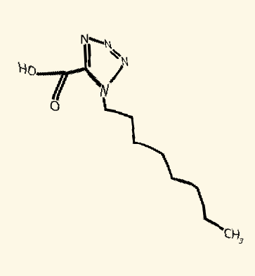 CCCCCCCCn1nnnc1C(=O)O